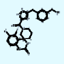 O=C1Nc2ccc(Cl)c(F)c2[C@@]2(CCCN(C(=O)c3nnc(Cc4cccc(CO)c4)[nH]3)C2)O1